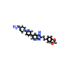 NC1CCN(c2ccc(-c3cnc4nc(CCc5ccc6c(c5)OCO6)[nH]c4c3)cn2)CC1